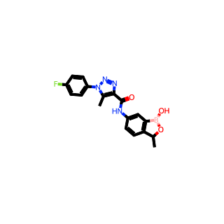 Cc1c(C(=O)Nc2ccc3c(c2)B(O)OC3C)nnn1-c1ccc(F)cc1